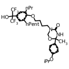 CCCCCc1cc(C(O)(C(F)(F)F)C(F)(F)F)cc(CCC)c1OCCCCN1COC(C)(c2ccc(OC(C)C)cc2)NC1=O